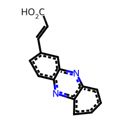 O=C(O)C=Cc1ccc2nc3ccccc3nc2c1